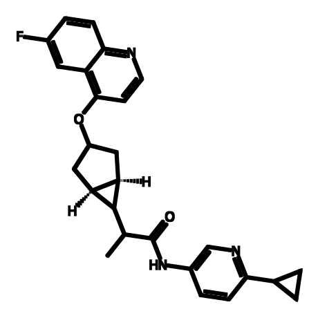 CC(C(=O)Nc1ccc(C2CC2)nc1)C1[C@H]2CC(Oc3ccnc4ccc(F)cc34)C[C@@H]12